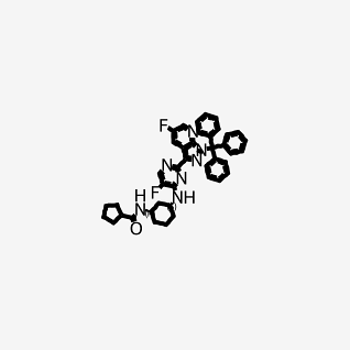 O=C(N[C@@H]1CCC[C@H](Nc2nc(-c3nn(C(c4ccccc4)(c4ccccc4)c4ccccc4)c4ncc(F)cc34)ncc2F)C1)C1CCCC1